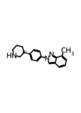 Cc1cccc2cn(-c3ccc([C@@H]4CCCNC4)cc3)nc12